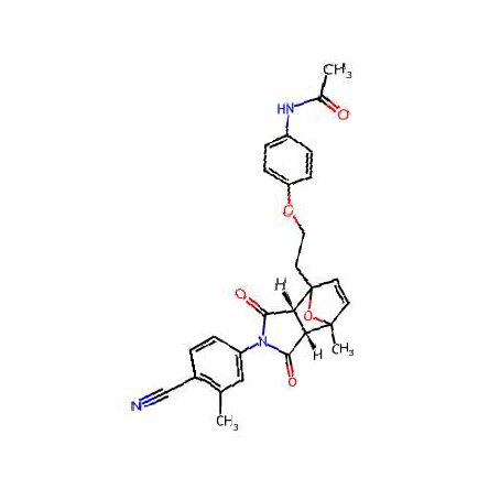 CC(=O)Nc1ccc(OCCC23C=CC(C)(O2)[C@@H]2C(=O)N(c4ccc(C#N)c(C)c4)C(=O)[C@@H]23)cc1